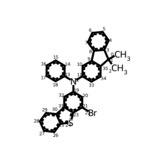 CC1(C)c2ccccc2-c2cc(N(c3ccccc3)c3cc(Br)c4sc5ccccc5c4c3)ccc21